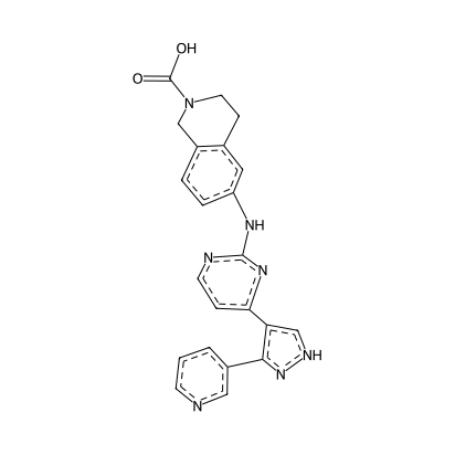 O=C(O)N1CCc2cc(Nc3nccc(-c4c[nH]nc4-c4cccnc4)n3)ccc2C1